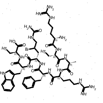 C[C@@H](NC(=O)[C@H](CS)NC(=O)[C@@H](N)CCCNC(=N)N)C(=O)N[C@@H](CCCNC(=N)N)C(=O)N[C@H](Cc1ccccc1)C(=O)N[C@@H](CC(Br)CNC(N)=O)C(=O)N[C@H](Cc1c[nH]c2ccccc12)C(=O)N[C@@H](CS)C(=O)O